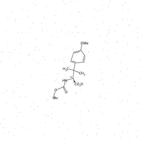 COc1ccc(C(C)(C)[C@H](NC(=O)OC(C)(C)C)C(=O)O)cc1